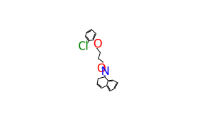 Clc1ccccc1OCCCCON=C1CC=Cc2ccccc21